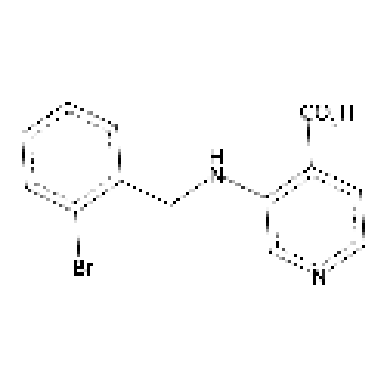 O=C(O)c1ccncc1NCc1ccccc1Br